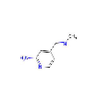 C/N=C/c1ccnc(N)c1